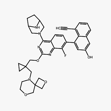 C#Cc1cccc2cc(O)cc(-c3ccc4c(N5CC6CCC(C5)N6)nc(OCC5(CN6CCOCC67COC7)CC5)nc4c3F)c12